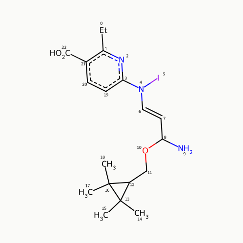 CCc1nc(N(I)/C=C/C(N)OCC2C(C)(C)C2(C)C)ccc1C(=O)O